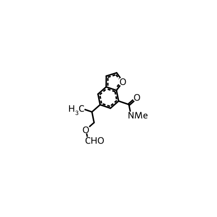 CNC(=O)c1cc(C(C)COC=O)cc2ccoc12